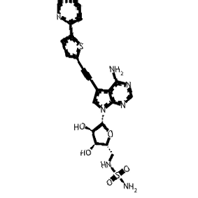 Nc1ncnc2c1c(C#Cc1ccc(-c3ccccn3)s1)cn2[C@@H]1O[C@H](CNS(N)(=O)=O)[C@@H](O)[C@H]1O